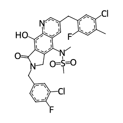 Cc1cc(F)c(Cc2cnc3c(O)c4c(c(N(C)S(C)(=O)=O)c3c2)CN(Cc2ccc(F)c(Cl)c2)C4=O)cc1Cl